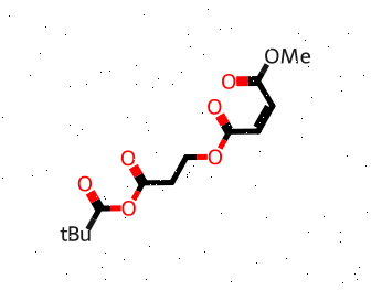 COC(=O)/C=C\C(=O)OCCC(=O)OC(=O)C(C)(C)C